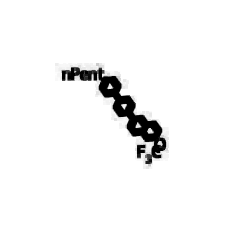 CCCCCc1ccc(-c2ccc(-c3ccc4cc(OC(F)(F)F)ccc4c3)cc2)cc1